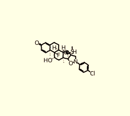 CSC(=O)[C@@]12ON(c3ccc(Cl)cc3)C[C@@H]1C[C@H]1[C@@H]3CCC4=CC(=O)C=C[C@]4(C)[C@@]3(F)[C@@H](O)C[C@@]12C